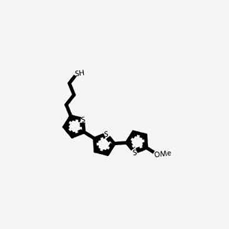 COc1ccc(-c2ccc(-c3ccc(CCCS)s3)s2)s1